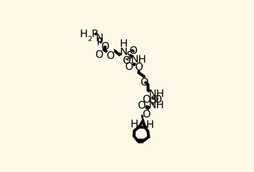 O=C(NS(=O)(=O)NCCOC(=O)O/P=N/P)OCCOCCNS(=O)(=O)NC(=O)OC[C@@H]1[C@@H]2CCC#CCC[C@@H]21